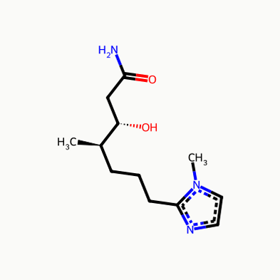 C[C@H](CCCc1nccn1C)[C@@H](O)CC(N)=O